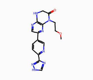 COCCN1C(=O)CNc2ncc(-c3ccc(-c4nc[nH]n4)nc3)nc21